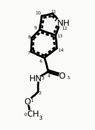 COCNC(=O)c1ccc2cc[nH]c2c1